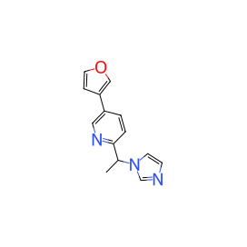 CC(c1ccc(-c2ccoc2)cn1)n1ccnc1